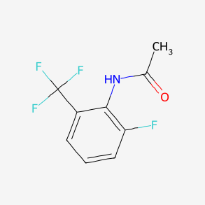 CC(=O)Nc1c(F)cccc1C(F)(F)F